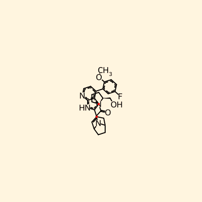 COc1ccc(F)cc1-c1ccnc2[nH]c(C3=CC4CCC(C3)N4CC(=O)N3CCC[C@H]3CO)cc12